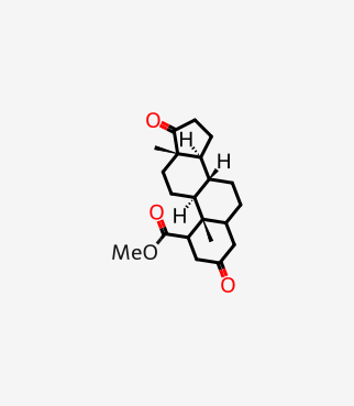 COC(=O)C1CC(=O)CC2CC[C@@H]3[C@H](CC[C@]4(C)C(=O)CC[C@@H]34)[C@]21C